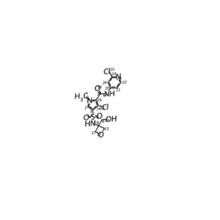 Cn1cc(S(=O)(=O)NC2(CO)COC2)c(Cl)c1C(=O)Nc1ccnc(Cl)c1